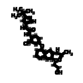 CC(=O)Nc1cc2c(Oc3ccc(NC(=O)Nc4cc(C(C)(C)C)n[nH]4)c(Cl)c3)ccnc2cc1OCCO